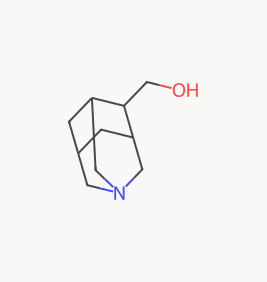 OCC1C2CC3CC1CN(C3)C2